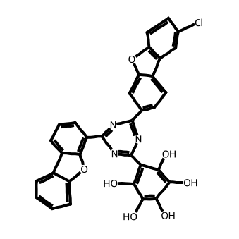 Oc1c(O)c(O)c(-c2nc(-c3ccc4c(c3)oc3ccc(Cl)cc34)nc(-c3cccc4c3oc3ccccc34)n2)c(O)c1O